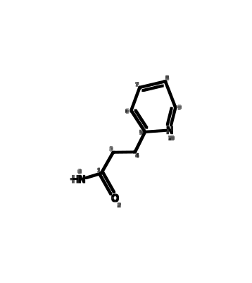 [NH]C(=O)CCc1ccccn1